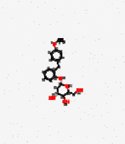 COc1ccc(Cc2ccccc2O[C@H]2C[C@@H](O)[C@H](O)C(CO)O2)cc1